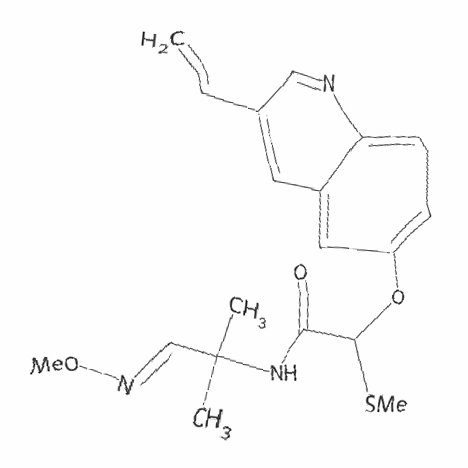 C=Cc1cnc2ccc(OC(SC)C(=O)NC(C)(C)/C=N/OC)cc2c1